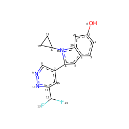 Oc1ccc2cc(-c3cnnc(C(F)F)c3)n(C3CC3)c2c1